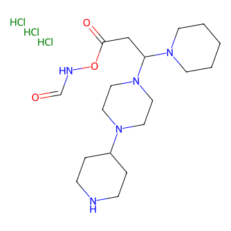 Cl.Cl.Cl.O=CNOC(=O)CC(N1CCCCC1)N1CCN(C2CCNCC2)CC1